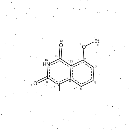 CCOc1cccc2[nH]c(=O)[nH]c(=O)c12